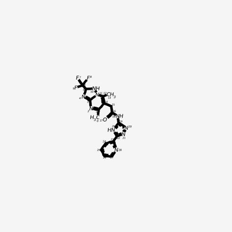 CC1=NC2=NC(C(F)(F)F)NN2C(C)=C1CC(=O)Nc1nnc(-c2ccccn2)[nH]1